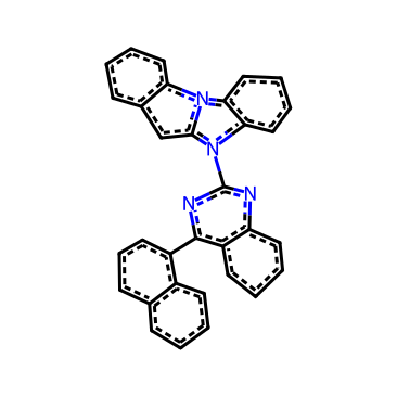 c1ccc2c(-c3nc(-n4c5ccccc5n5c6ccccc6cc45)nc4ccccc34)cccc2c1